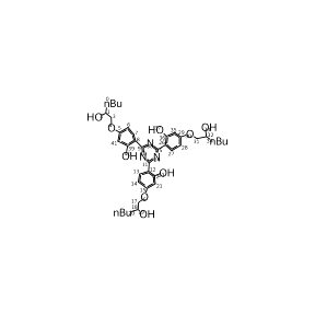 CCCCC(O)COc1ccc(-c2nc(-c3ccc(OCC(O)CCCC)cc3O)nc(-c3ccc(OCC(O)CCCC)cc3O)n2)c(O)c1